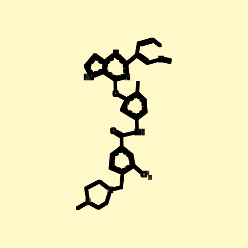 C=N/C=C(\C=C/C)c1nc(Oc2cc(NC(=O)c3ccc(CN4CCN(C)CC4)c(C(F)(F)F)c3)ccc2C)c2[nH]ccc2n1